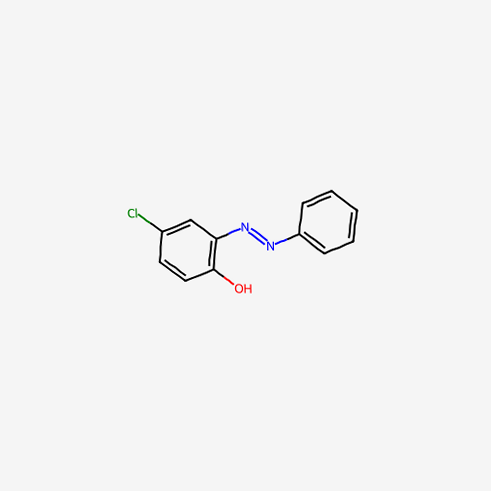 Oc1ccc(Cl)cc1N=Nc1ccccc1